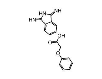 N=C1NC(=N)c2ccccc21.O=C(O)COc1ccccc1